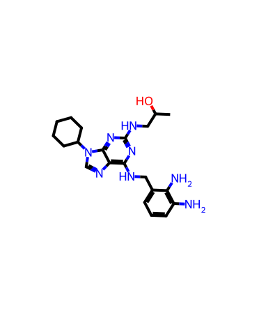 CC(O)CNc1nc(NCc2cccc(N)c2N)c2ncn(C3CCCCC3)c2n1